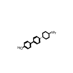 CCC[C@H]1CC[C@H](c2ccc(-c3ccc(O)cc3)cc2)CC1